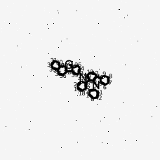 c1ccc(-n2c3ccccc3c3ccc4c(c5ccccc5n4-c4ccc5oc6c7ccccc7ccc6c5c4)c32)cc1